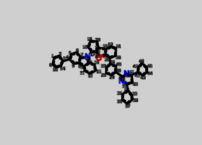 c1ccc(-c2ccc3c(c2)c2ccccc2n3-c2cccc3c2oc2c(-c4cccc(-c5nc(-c6ccccc6)cc(-c6ccccc6)n5)c4)cccc23)cc1